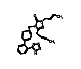 CC#CCc1nn(C/C=C/C)c(=O)n1Cc1ccc(-c2ccccc2-c2nnn[nH]2)cc1